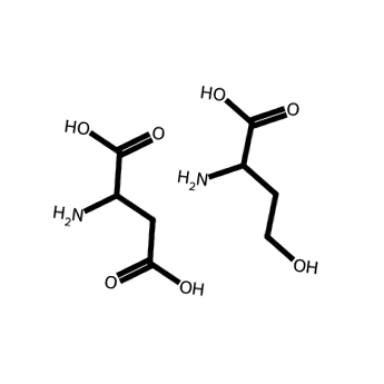 NC(CC(=O)O)C(=O)O.NC(CCO)C(=O)O